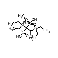 CC[Si](CC)(CC)C(C)C([Si](CC)(CC)CC)(S(=O)(=O)O)S(=O)(=O)O